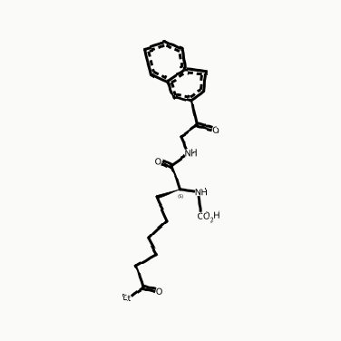 CCC(=O)CCCCC[C@H](NC(=O)O)C(=O)NCC(=O)c1ccc2ccccc2c1